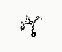 CCCC[N+](CCCC)(CCCC)CCCCC1CC2C=CC1C2.[F][Sb-]([F])([F])([F])([F])[F]